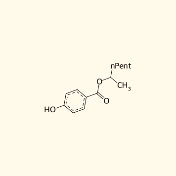 CCCCCC(C)OC(=O)c1ccc(O)cc1